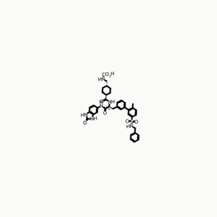 Cc1ccc(S(=O)(=O)NCc2ccccc2)cc1-c1cccc(C[C@H](NC(=O)[C@H]2CC[C@H](CNC(=O)O)CC2)C(=O)Nc2ccc3[nH]c(=O)[nH]c3c2)c1